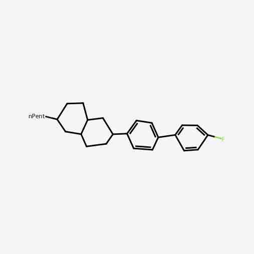 CCCCCC1CCC2CC(c3ccc(-c4ccc(F)cc4)cc3)CCC2C1